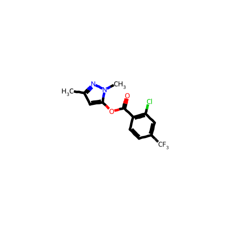 Cc1cc(OC(=O)c2ccc(C(F)(F)F)cc2Cl)n(C)n1